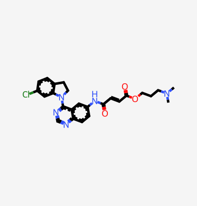 CN(C)CCCOC(=O)C=CC(=O)Nc1ccc2ncnc(N3CCc4ccc(Cl)cc43)c2c1